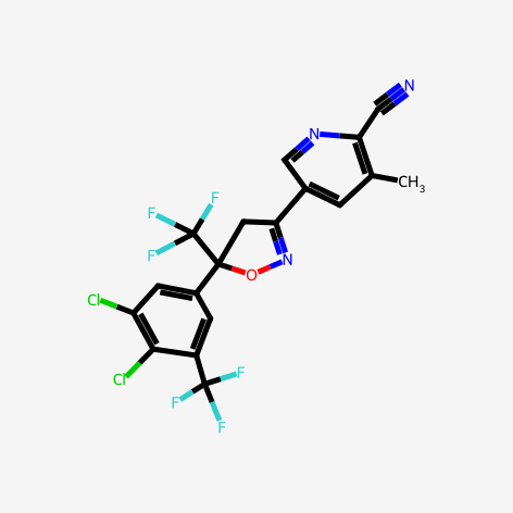 Cc1cc(C2=NOC(c3cc(Cl)c(Cl)c(C(F)(F)F)c3)(C(F)(F)F)C2)cnc1C#N